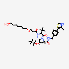 Cc1ncsc1-c1ccc(CNC(=O)[C@@H]2C[C@@H](O[Si](C)(C)C(C)(C)C)CN2C(=O)C(NC(=O)CCOCCCCCCCO)C(C)(C)C)cc1